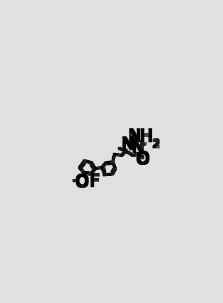 COc1cccc(-c2cccc(CCC3(C)CC(=O)N(C)C(N)=N3)c2)c1F